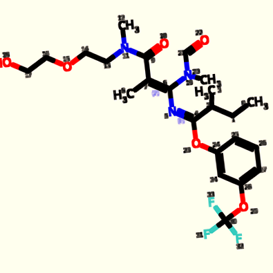 CCC(C)/C(=N\C(=C(/C)C(=O)N(C)CCOCCO)N(C)C=O)Oc1cccc(OC(F)(F)F)c1